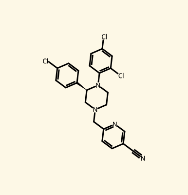 N#Cc1ccc(CN2CCN(c3ccc(Cl)cc3Cl)[C@H](c3ccc(Cl)cc3)C2)nc1